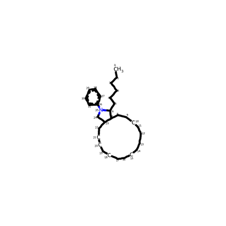 CCCCCCC1C2CCCCCCCCCCCCCCCC2CN1c1ccccc1